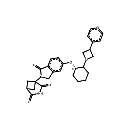 O=C1NC(=O)C2(N3Cc4cc(O[C@H]5CCCCC5N5CC(c6ccncc6)C5)ccc4C3=O)CC1C2